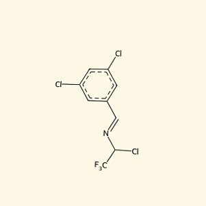 FC(F)(F)C(Cl)N=Cc1cc(Cl)cc(Cl)c1